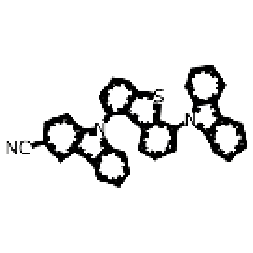 N#Cc1ccc2c(c1)c1ccccc1n2-c1cccc2sc3c(-n4c5ccccc5c5ccccc54)cccc3c12